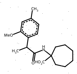 COc1cc(C)ccc1C(C)C(=O)NC1(C(=O)O)CCCCCC1